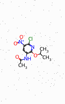 CC(=O)Nc1cc([N+](=O)[O-])c(Cl)nc1OC(C)C